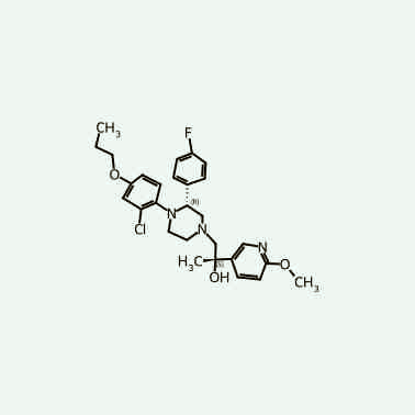 CCCOc1ccc(N2CCN(C[C@@](C)(O)c3ccc(OC)nc3)C[C@H]2c2ccc(F)cc2)c(Cl)c1